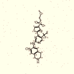 COCCS(=O)(=O)c1csc(-c2nc(Nc3cc4c(cc3Cl)CNCC4)ncc2C(F)(F)F)c1